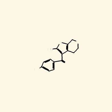 Cc1ccc(C(=O)c2c(N)sc3c2CCOC3)cc1